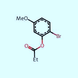 CCC(=O)Oc1cc(OC)ccc1Br